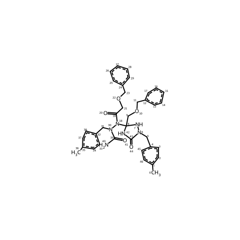 Cc1ccc(CN2NC(COCc3ccccc3)(N(C(=O)COCc3ccccc3)N(Cc3ccc(C)cc3)C(N)=O)NC2=O)cc1